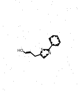 OC=CCc1cnc(-c2ccccc2)s1